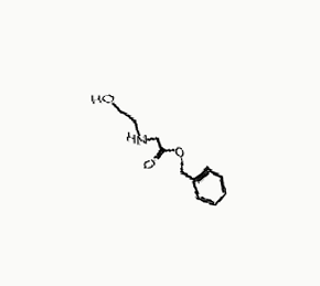 O=C(CNCCO)OCc1ccccc1